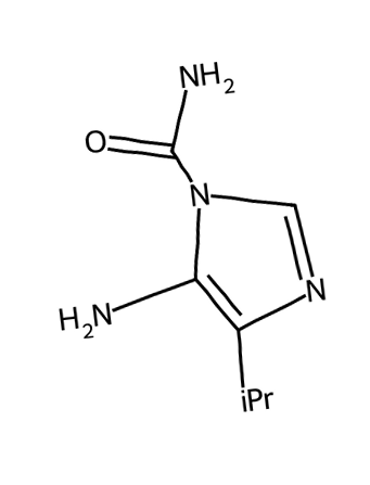 CC(C)c1ncn(C(N)=O)c1N